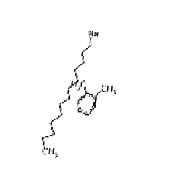 CCCCCCCCCCCC[CH2][Na].Cc1ccccc1C